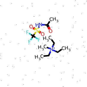 CC(=O)NS(=O)(=O)C(F)(F)F.CC[N+](C)(CC)CC